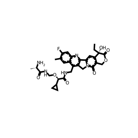 CC[C@@]1(O)C(=O)OCc2c1cc1n(c2=O)Cc2c-1nc1cc(F)c(C)cc1c2CNC(=O)[C@H](OCNC(=O)[C@H](C)N)C1CC1